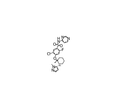 Cn1nccc1[C@H]1CCCC[C@@]1(C)Oc1cc(F)c(S(=O)(=O)Nc2ccncn2)cc1Cl